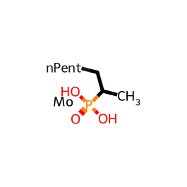 CCCCCCC(C)P(=O)(O)O.[Mo]